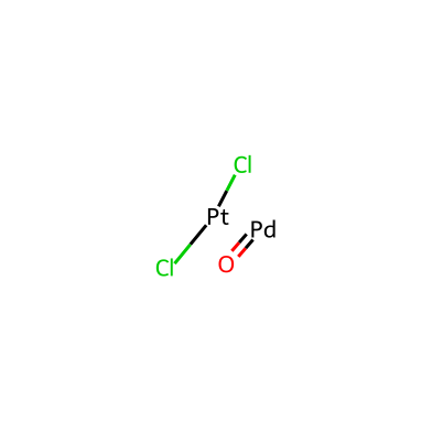 [Cl][Pt][Cl].[O]=[Pd]